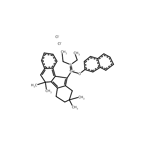 CC[Si](CC)=[Ti+2]([O]c1ccc2ccccc2c1)[C]1=C2CC(C)(C)CCC2=C2C1=c1ccccc1=CC2(C)C.[Cl-].[Cl-]